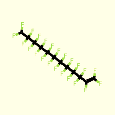 F[C](F)C(F)(F)C(F)(F)C(F)(F)C(F)(F)C(F)(F)C(F)(F)C(F)(F)C(F)(F)C(F)(F)C(F)=C(F)F